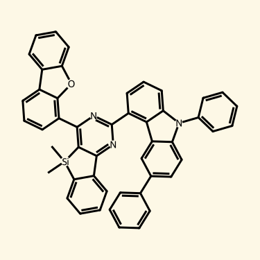 C[Si]1(C)c2ccccc2-c2nc(-c3cccc4c3c3cc(-c5ccccc5)ccc3n4-c3ccccc3)nc(-c3cccc4c3oc3ccccc34)c21